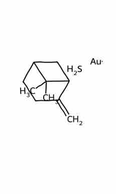 C=C1CCC2CC1C2(C)C.S.[Au]